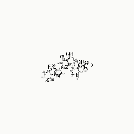 CN1CC[C@H](c2c(O)cc(O)c3c(=O)cc(-c4cnn(-c5ccccc5)c4C(F)(F)F)oc23)[C@H](OC(=O)C(F)(F)F)C1